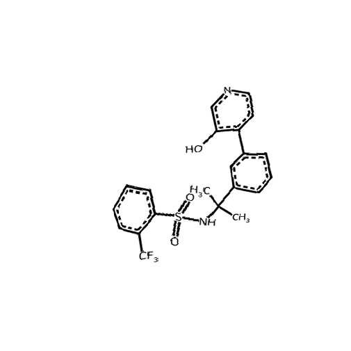 CC(C)(NS(=O)(=O)c1ccccc1C(F)(F)F)c1cccc(-c2ccncc2O)c1